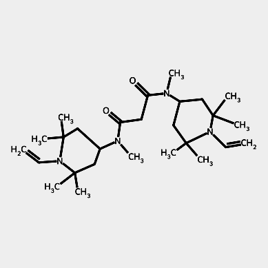 C=CN1C(C)(C)CC(N(C)C(=O)CC(=O)N(C)C2CC(C)(C)N(C=C)C(C)(C)C2)CC1(C)C